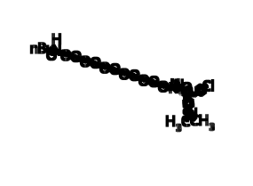 CCCCC(=O)NCCOCCOCCOCCOCCOCCOCCOCCOCCOCCOCCOCCn1cc([C@H]2CN(C3CCC(c4nc(C)c(C)s4)CC3)C(Cc3ccc(Cl)cc3)CO2)nn1